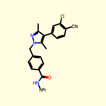 CCCNC(=O)c1ccc(Cn2nc(C)c(-c3ccc(C#N)c(Cl)c3)c2C)cc1